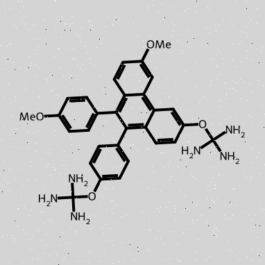 COc1ccc(-c2c(-c3ccc(OC(N)(N)N)cc3)c3ccc(OC(N)(N)N)cc3c3cc(OC)ccc23)cc1